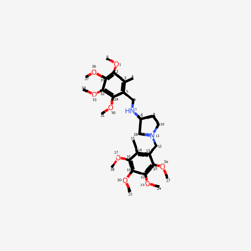 COc1c(C)c(CNC2CCN(Cc3c(C)c(OC)c(OC)c(OC)c3OC)C2)c(OC)c(OC)c1OC